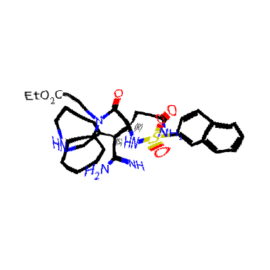 CCOC(=O)CN(C(=O)[C@](CC(N)=O)(NS(=O)(=O)c1ccc2ccccc2c1)[C@@H](C(=N)N)C1CCCNC1)C1CCCCC1